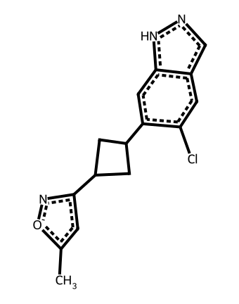 Cc1cc(C2CC(c3cc4[nH]ncc4cc3Cl)C2)no1